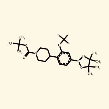 CC(C)(C)OC(=O)N1CCC(c2ccc(B3OC(C)(C)C(C)(C)O3)cc2OC(F)(F)F)CC1